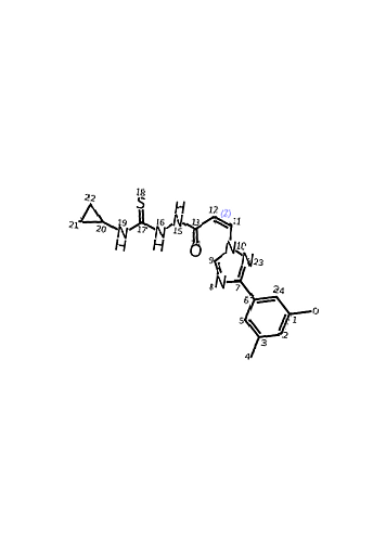 Cc1cc(C)cc(-c2ncn(/C=C\C(=O)NNC(=S)NC3CC3)n2)c1